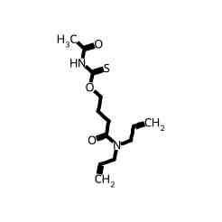 C=CCN(CC=C)C(=O)CCCOC(=S)NC(C)=O